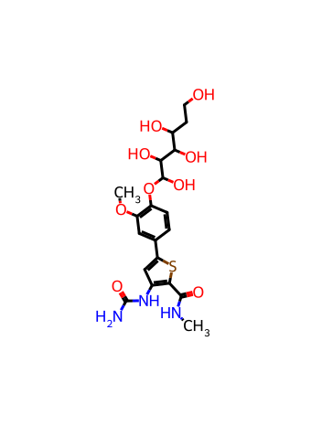 CNC(=O)c1sc(-c2ccc(OC(O)C(O)C(O)C(O)CCO)c(OC)c2)cc1NC(N)=O